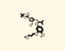 COCCCOc1cc(O[C@@H](C[C@@H]2CN(C(=O)OC(C)(C)C)C[C@H]2C=O)C(C)C)ccc1OC